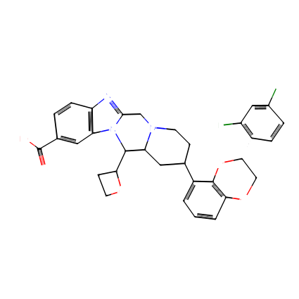 O=C(O)c1ccc2nc3n(c2c1)C(C1CCO1)C1CC(c2cccc4c2O[C@H](c2ccc(Cl)cc2F)CO4)CCN1C3